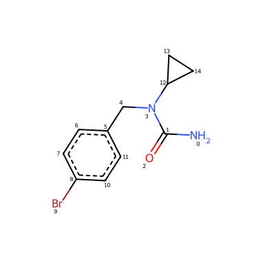 NC(=O)N(Cc1ccc(Br)cc1)C1CC1